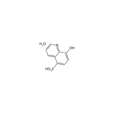 O.O=S(=O)(O)c1ccc(O)c2ncccc12